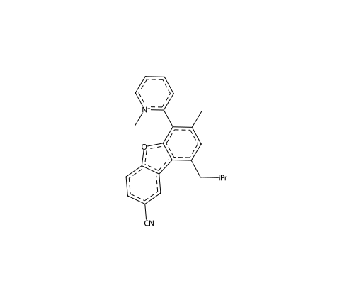 Cc1cc(CC(C)C)c2c(oc3ccc(C#N)cc32)c1-c1cccc[n+]1C